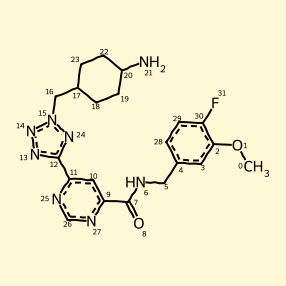 COc1cc(CNC(=O)c2cc(-c3nnn(CC4CCC(N)CC4)n3)ncn2)ccc1F